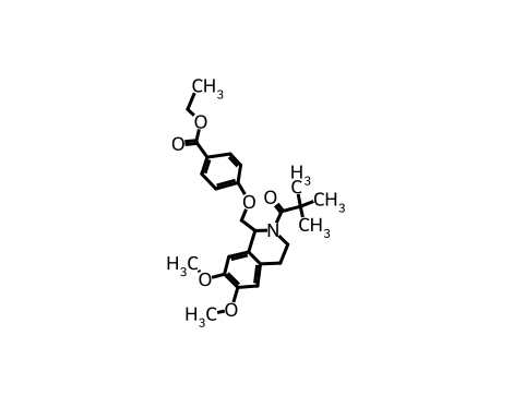 CCOC(=O)c1ccc(OCC2c3cc(OC)c(OC)cc3CCN2C(=O)C(C)(C)C)cc1